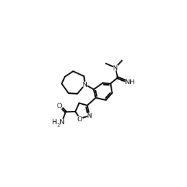 CN(C)C(=N)c1ccc(C2=NOC(C(N)=O)C2)c(N2CCCCCC2)c1